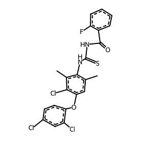 Cc1cc(Oc2ccc(Cl)cc2Cl)c(Cl)c(C)c1NC(=S)NC(=O)c1ccccc1F